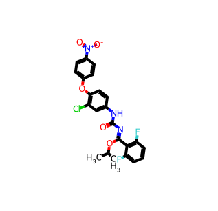 CC(C)OC(=NC(=O)Nc1ccc(Oc2ccc([N+](=O)[O-])cc2)c(Cl)c1)c1c(F)cccc1F